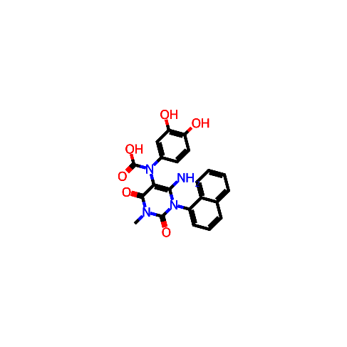 Cn1c(=O)c(N(C(=O)O)c2ccc(O)c(O)c2)c(N)n(-c2cccc3ccccc23)c1=O